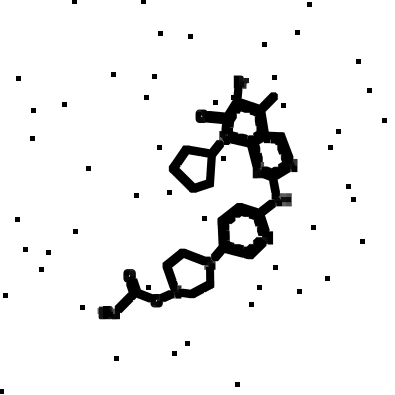 Cc1c(Br)c(=O)n(C2CCCC2)c2nc(Nc3ccc(N4CCN(OC(=O)C(C)(C)C)CC4)cn3)ncc12